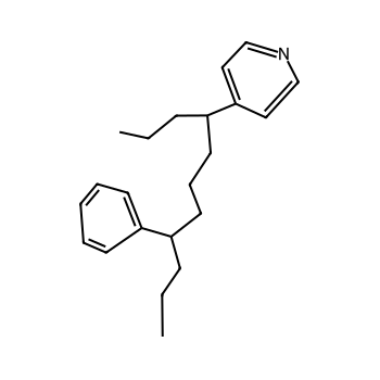 CCCC(CCCC(CCC)c1ccncc1)c1ccccc1